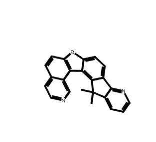 CC1(C)c2cccnc2-c2ccc3oc4ccc5ccncc5c4c3c21